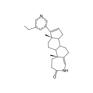 CCc1cncc(C2=CCC3C4CCC5=CNC(=O)CC[C@]5(C)C4CC[C@]23C)c1